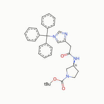 CC(C)(C)OC(=O)N1CC[C@H](NC(=O)Cc2cn(C(c3ccccc3)(c3ccccc3)c3ccccc3)cn2)C1